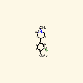 COc1ccc(C2CCN(C)CC2)cc1F